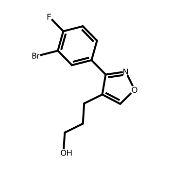 OCCCc1conc1-c1ccc(F)c(Br)c1